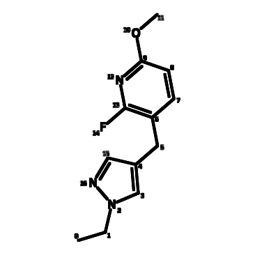 CCn1cc(Cc2ccc(OC)nc2F)cn1